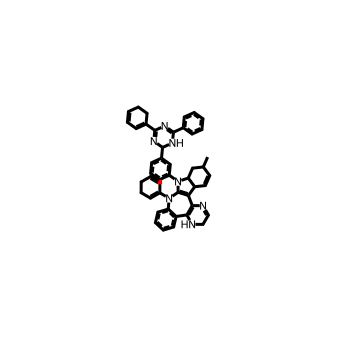 CC1C=CC2C3=C(N(C4=CCCC=C4)c4ccccc4C4=C3N=CCN4)N(c3cccc(C4N=C(C5=CC=CCC5)N=C(c5ccccc5)N4)c3)C2C1